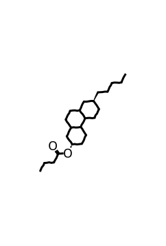 CCCCC[C@H]1CCC2C(CCC3C[C@@H](OC(=O)CCC)CCC32)C1